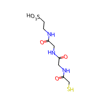 O=C(CS)NCC(=O)NCC(=O)NCCS(=O)(=O)O